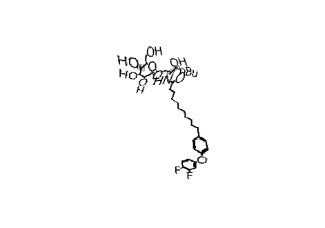 CCCC[C@@H](O)[C@H](CO[C@H]1OC(CO)[C@H](O)C(O)C1O)NC(=O)CCCCCCCCCCc1ccc(Oc2ccc(F)c(F)c2)cc1